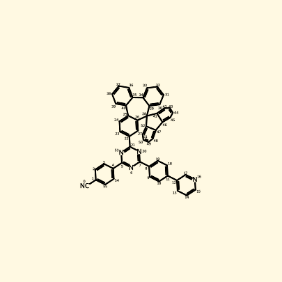 N#Cc1ccc(-c2nc(-c3ccc(-c4cccnc4)cc3)nc(-c3ccc4c(c3)C3(c5ccccc5-c5ccccc5-4)c4ccccc4-c4ccccc43)n2)cc1